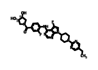 CCc1cnc(N2CCC(n3cc(F)c4c(Nc5ccc(C(=O)N6C[C@H](O)[C@@H](O)C6)cc5F)ncnc43)CC2)nc1